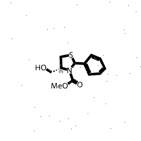 COC(=O)N1C(c2ccccc2)SC[C@H]1CO